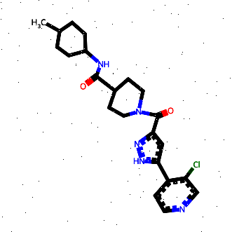 CC1CCC(NC(=O)C2CCN(C(=O)c3cc(-c4ccncc4Cl)[nH]n3)CC2)CC1